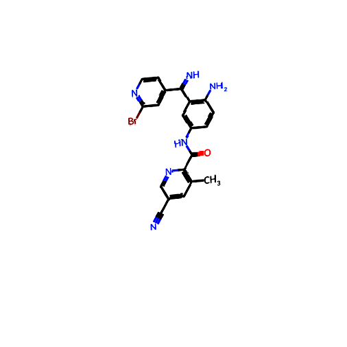 Cc1cc(C#N)cnc1C(=O)Nc1ccc(N)c(C(=N)c2ccnc(Br)c2)c1